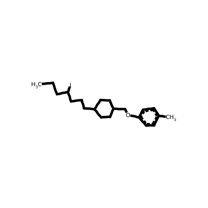 CCCC(I)CCCC1CCC(COc2ccc(C)cc2)CC1